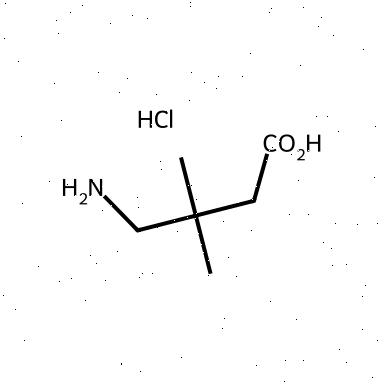 CC(C)(CN)CC(=O)O.Cl